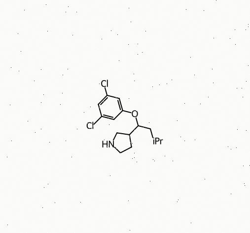 CC(C)CC(Oc1cc(Cl)cc(Cl)c1)C1CCNC1